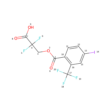 O=C(OCC(F)(F)C(=O)O)c1ccc(I)cc1C(F)(F)F